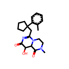 Cc1ccccc1C1(CC2=NC(=O)C(O)C3C(=O)N(C)CCN23)CCCC1